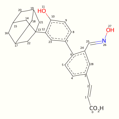 O=C(O)C=Cc1ccc(-c2ccc(O)c(C34CC5CC(CC(C5)C3)C4)c2)c(C=NO)c1